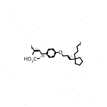 C/C(I)=C\[C@@H](CC(=O)O)c1ccc(OC/C=C/C2(CCCI)CCCC2)cc1